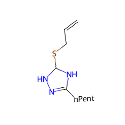 C=CCSC1NN=C(CCCCC)N1